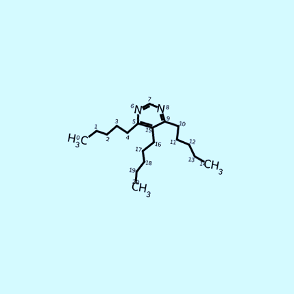 CCCCCc1n[c]nc(CCCCC)c1CCCCC